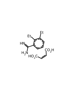 CCc1cccc(C(=N)N)c1CC.O=C(O)/C=C\C(=O)O